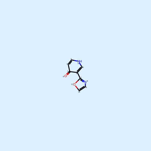 O=c1cc[nH]cc1-c1ncco1